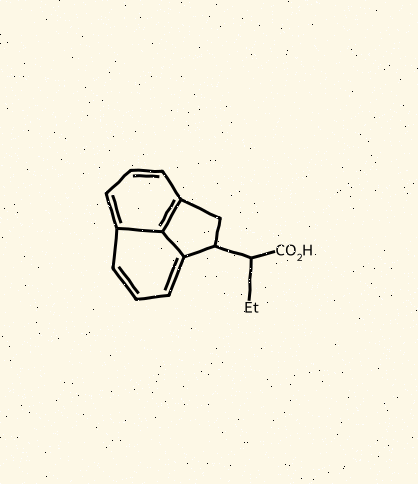 CCC(C(=O)O)C1Cc2cccc3cccc1c23